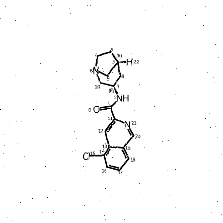 O=C(N[C@@H]1C[C@H]2CCN(C2)C1)c1cc2c(Cl)cccc2cn1